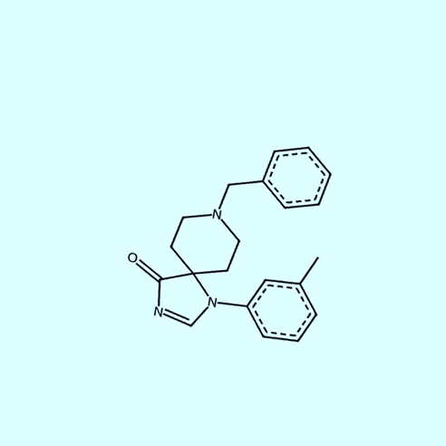 Cc1cccc(N2C=NC(=O)C23CCN(Cc2ccccc2)CC3)c1